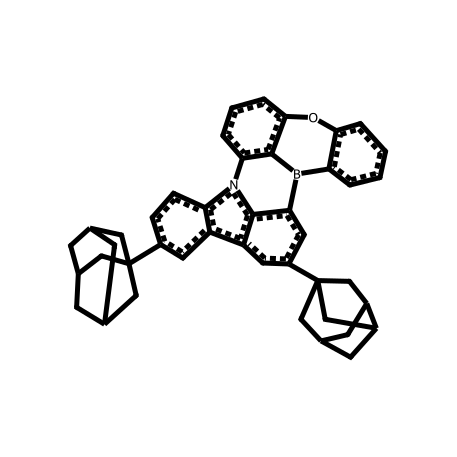 c1ccc2c(c1)Oc1cccc3c1B2c1cc(C24CC5CC(C2)C(C5)C4)cc2c4cc(C56CC7CC(CC(C7)C5)C6)ccc4n-3c12